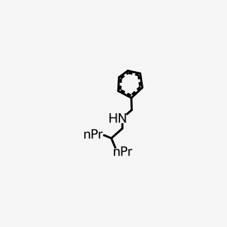 C[CH]CC(CCC)CNCc1ccccc1